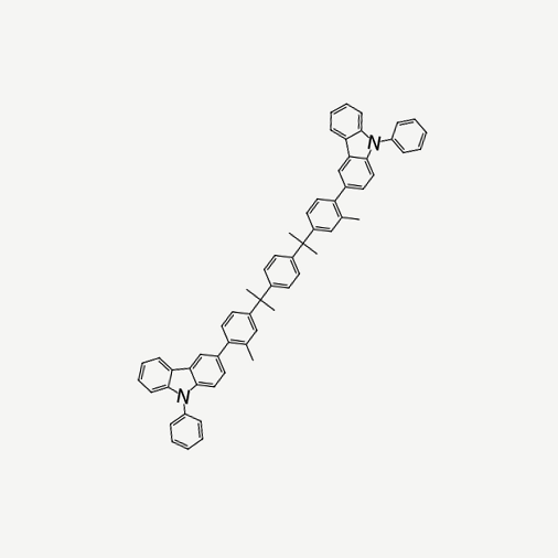 Cc1cc(C(C)(C)c2ccc(C(C)(C)c3ccc(-c4ccc5c(c4)c4ccccc4n5-c4ccccc4)c(C)c3)cc2)ccc1-c1ccc2c(c1)c1ccccc1n2-c1ccccc1